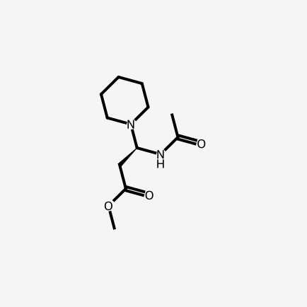 COC(=O)C[C@H](NC(C)=O)N1CCCCC1